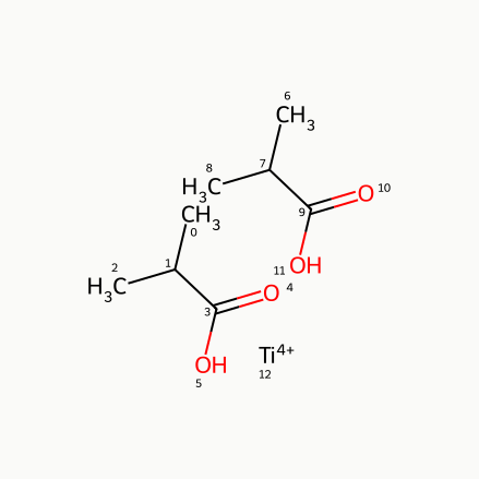 CC(C)C(=O)O.CC(C)C(=O)O.[Ti+4]